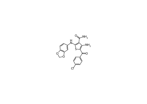 NC(=O)c1c(Nc2ccc3c(c2)OCO3)sc(C(=O)c2ccc(Cl)cc2)c1N